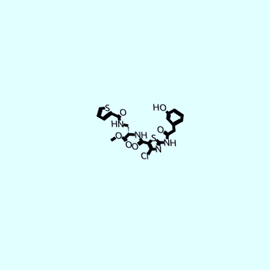 COC(=O)[C@H](CNC(=O)c1cccs1)NC(=O)c1sc(NC(=O)Cc2cccc(O)c2)nc1Cl